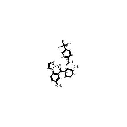 Cc1ccc(-n2ccnn2)c(C(=O)N2CCC[C@@H](C)[C@H]2CNc2ccc(C(F)(F)F)cn2)c1